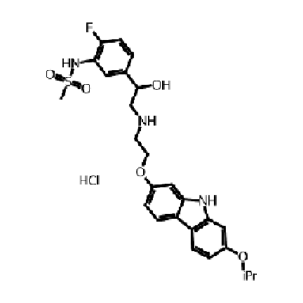 CC(C)Oc1ccc2c(c1)[nH]c1cc(OCCNCC(O)c3ccc(F)c(NS(C)(=O)=O)c3)ccc12.Cl